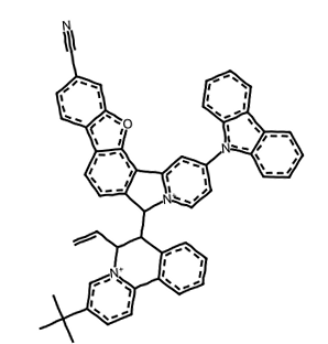 C=CC1C(C2c3ccc4c(oc5cc(C#N)ccc54)c3-c3cc(-n4c5ccccc5c5ccccc54)cc[n+]32)c2ccccc2-c2ccc(C(C)(C)C)c[n+]21